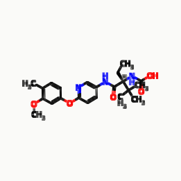 CC[C@](NC(=O)O)(C(=O)Nc1ccc(Oc2ccc(C)c(OC)c2)nc1)C(C)(C)C